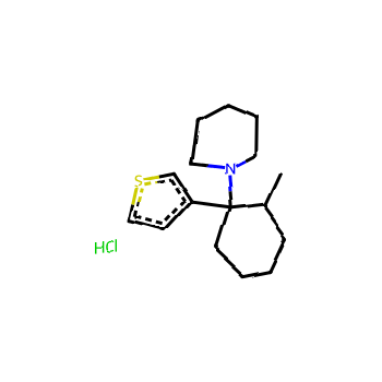 CC1CCCCC1(c1ccsc1)N1CCCCC1.Cl